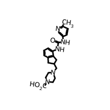 Cc1ccc(NC(=O)Nc2cccc3c2CC(CN2CCN(C(=O)O)CC2)C3)cn1